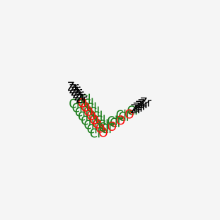 ClOCl.ClOCl.ClOCl.ClOCl.ClOCl.ClOCl.ClOCl.ClOCl.ClOCl.ClOCl.ClOCl.[Zr].[Zr].[Zr].[Zr].[Zr].[Zr].[Zr].[Zr].[Zr].[Zr].[Zr]